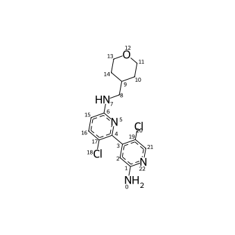 Nc1cc(-c2nc(NCC3CCOCC3)ccc2Cl)c(Cl)cn1